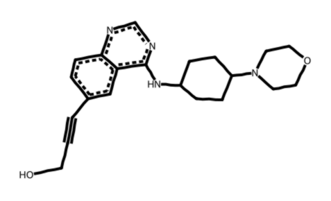 OCC#Cc1ccc2ncnc(NC3CCC(N4CCOCC4)CC3)c2c1